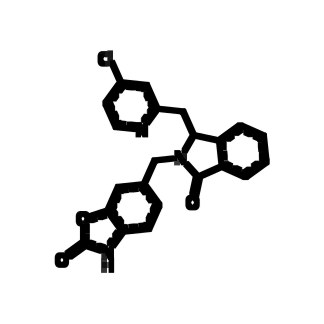 O=C1c2ccccc2C(Cc2cc(Cl)ccn2)N1Cc1ccc2[nH]c(=O)oc2c1